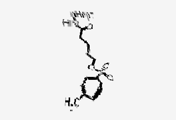 CCCCCCCNC(=O)CCCCOS(=O)(=O)c1ccc(C)cc1